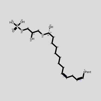 CCCCC/C=C\C/C=C\CCCCCCC[C@@H](O)OCC(O)COP(=O)(O)O